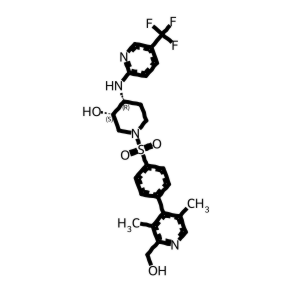 Cc1cnc(CO)c(C)c1-c1ccc(S(=O)(=O)N2CC[C@@H](Nc3ccc(C(F)(F)F)cn3)[C@@H](O)C2)cc1